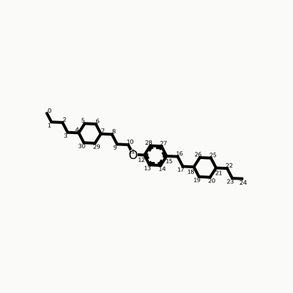 CCCCC1CCC(CCCOc2ccc(CCC3CCC(CCC)CC3)cc2)CC1